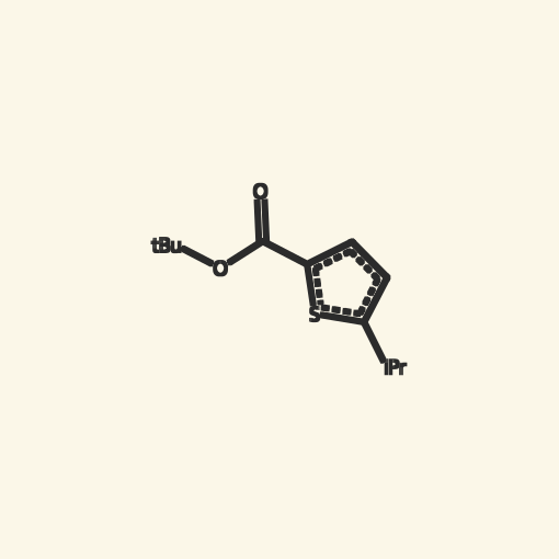 CC(C)c1ccc(C(=O)OC(C)(C)C)s1